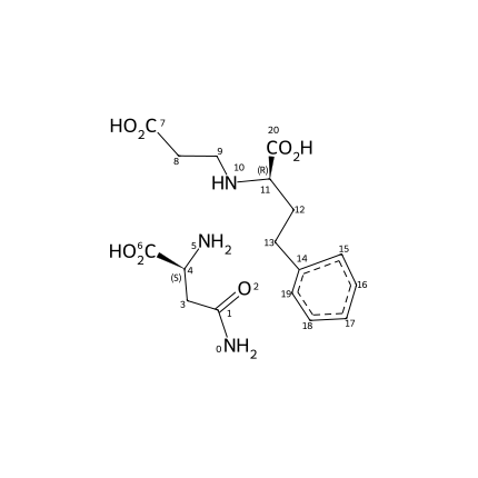 NC(=O)C[C@H](N)C(=O)O.O=C(O)CCN[C@H](CCc1ccccc1)C(=O)O